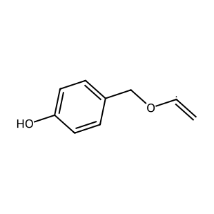 C=[C]OCc1ccc(O)cc1